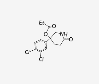 CCC(=O)OC1(c2ccc(Cl)c(Cl)c2)CCC(=O)NC1